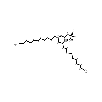 CCCCCCCCCCCCN(CCOP(=O)(O)O)CC(O)CCCCCCCCCC